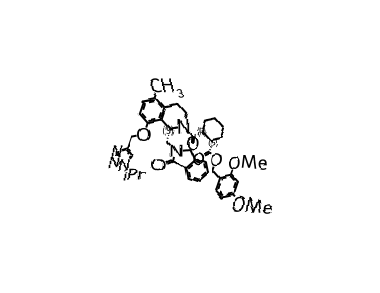 COc1ccc(COC(=O)[C@H]2CCCC[C@H]2C(=O)N2CCc3c(C)ccc(OCc4cn(C(C)C)nn4)c3[C@H]2CN2Cc3ccccc3C2=O)c(OC)c1